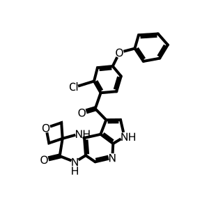 O=C(c1ccc(Oc2ccccc2)cc1Cl)c1c[nH]c2ncc3c(c12)NC1(COC1)C(=O)N3